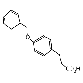 O=C(O)CCc1ccc(OCC2C=CC=CC2)cc1